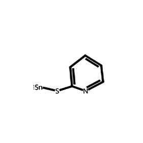 [Sn][S]c1ccccn1